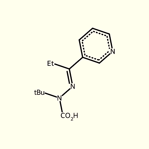 CCC(=NN(C(=O)O)C(C)(C)C)c1cccnc1